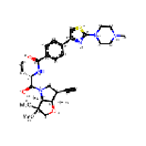 C#C[C@@H]1CN(C(=O)[C@H](CC(C)C)NC(=O)c2ccc(-c3csc(N4CCN(C)CC4)n3)cc2)[C@H]2[C@@H]1OCC2(OC)OC